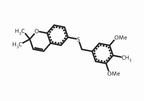 COc1cc(CSc2ccc3c(c2)C=CC(C)(C)O3)cc(OC)c1C